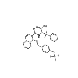 CC(C)(c1ccccc1)C(NC(=O)c1ccc2ccccc2c1OCc1ccc(SC(F)(F)F)cc1)C(=O)O